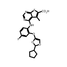 Cc1c(C(=O)O)sc2ncnc(Nc3ccc(F)cc3OC3=COC(C4CCCC4)O3)c12